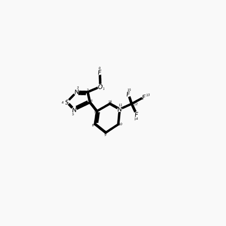 FOc1nsnc1C1=CCCN(C(F)(F)F)C1